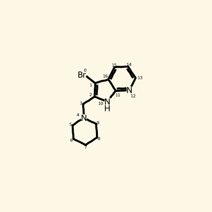 Brc1c(CN2CCCCC2)[nH]c2ncccc12